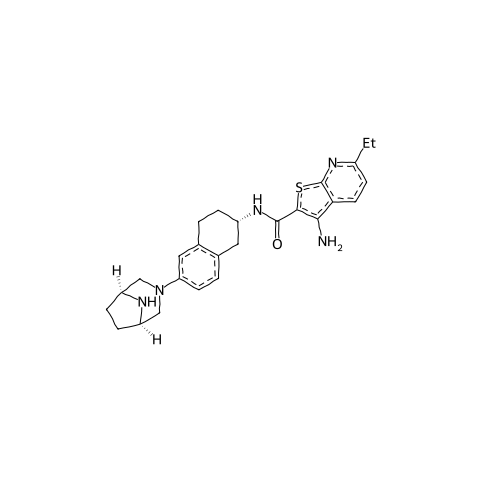 CCc1ccc2c(N)c(C(=O)N[C@H]3CCc4cc(N5C[C@H]6CC[C@@H](C5)N6)ccc4C3)sc2n1